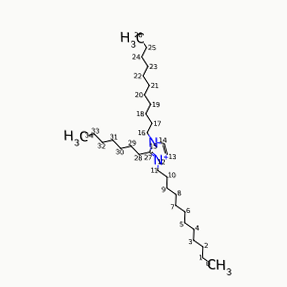 CCCCCCCCCCCC[n+]1ccn(CCCCCCCCCCC)c1CCCCCCC